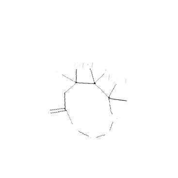 CC1(C)CC(=O)OOOOC(C)(C)C1(C)C